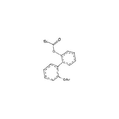 CC(=O)Oc1ccccc1-c1ccccc1OC(=O)C(C)(C)C